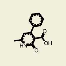 Cc1cc(-c2ccccc2)c(C(=O)O)c(=O)[nH]1